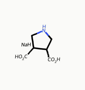 O=C(O)C1CNCC1C(=O)O.[NaH]